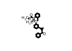 COC(=O)N(OC)c1ccccc1COc1cccc(C2CC2C(=O)c2ccccc2)c1